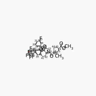 COC(=O)C1=C[C@H](C)[C@H](C(=O)N2CCC3(S(=O)(=O)c4cccc(F)c4)c4ccc(C(F)(C(F)(F)F)C(F)(F)F)cc4CCC23)CC1